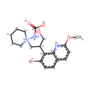 COc1ccc2ccc(Br)c(C(CO)C[N+]3(NC(=O)[O-])CCCCC3)c2n1